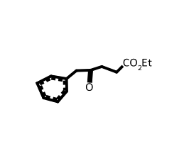 CCOC(=O)CCC(=O)Cc1ccccc1